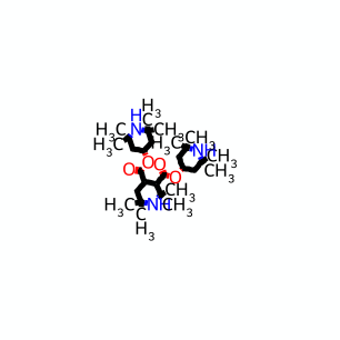 CC1(C)CC(OC(=O)C2CC(C)(C)NC(C)(C)C2C(=O)OC2CC(C)(C)NC(C)(C)C2)CC(C)(C)N1